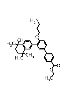 CCOC(=O)c1ccc(-c2ccc(OCCCN)c(-c3ccc4c(c3)C(C)(C)CCC4(C)C)c2)cc1